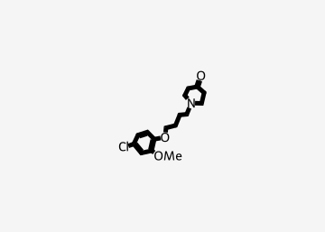 COc1cc(Cl)ccc1OCCCCN1CCC(=O)CC1